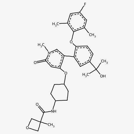 Cc1cc(F)cc(C)c1Oc1ccc(C(C)(C)O)cc1-c1cn(C)c(=O)cc1OC1CCC(NC(=O)C2(C)COC2)CC1